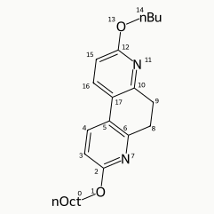 CCCCCCCCOc1ccc2c(n1)CCc1nc(OCCCC)ccc1-2